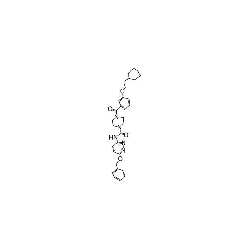 O=C(Nc1ccc(OCc2ccccc2)nn1)N1CCN(C(=O)c2cccc(OCCC3CCCCC3)c2)CC1